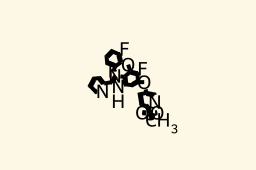 CS(=O)(=O)c1ccc(Oc2cc3[nH]c(-c4ccccn4)nc3c(Oc3c(F)cccc3F)c2F)cn1